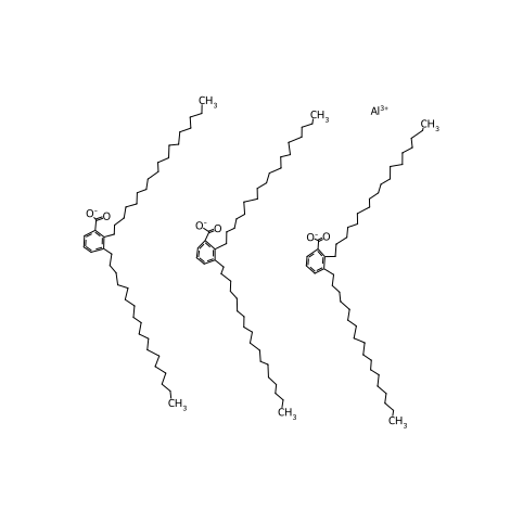 CCCCCCCCCCCCCCCCCCc1cccc(C(=O)[O-])c1CCCCCCCCCCCCCCCCCC.CCCCCCCCCCCCCCCCCCc1cccc(C(=O)[O-])c1CCCCCCCCCCCCCCCCCC.CCCCCCCCCCCCCCCCCCc1cccc(C(=O)[O-])c1CCCCCCCCCCCCCCCCCC.[Al+3]